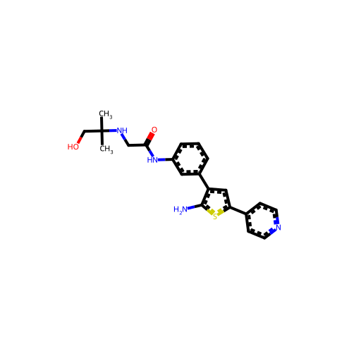 CC(C)(CO)NCC(=O)Nc1cccc(-c2cc(-c3ccncc3)sc2N)c1